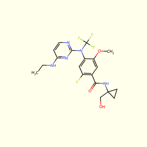 CCNc1ccnc(N(c2cc(F)c(C(=O)NC3(CO)CC3)cc2OC)C(F)(F)F)n1